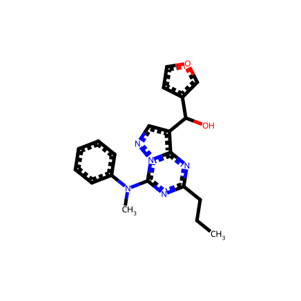 CCCc1nc(N(C)c2ccccc2)n2ncc(C(O)c3ccoc3)c2n1